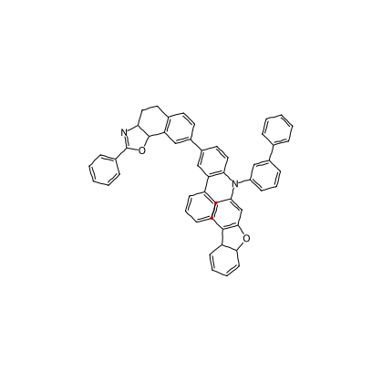 C1=CC2Oc3cc(N(c4cccc(-c5ccccc5)c4)c4ccc(-c5ccc6c(c5)C5OC(c7ccccc7)=NC5CC6)cc4-c4ccccc4)ccc3C2C=C1